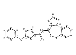 O=C(N[C@@H]1CCc2ccccc2-n2cnnc21)c1cc(Cc2ccccc2)on1